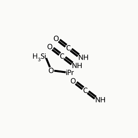 CC(C)O[SiH3].N=C=O.N=C=O.N=C=O